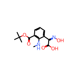 CNc1c(C(=O)OC(C)(C)C)cccc1C(=NO)C(=O)O